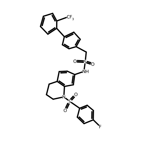 O=S(=O)(Cc1ccc(-c2ccccc2C(F)(F)F)cc1)Nc1ccc2c(c1)N(S(=O)(=O)c1ccc(F)cc1)CCC2